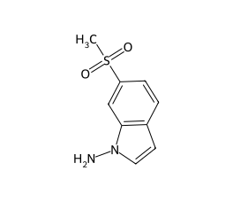 CS(=O)(=O)c1ccc2ccn(N)c2c1